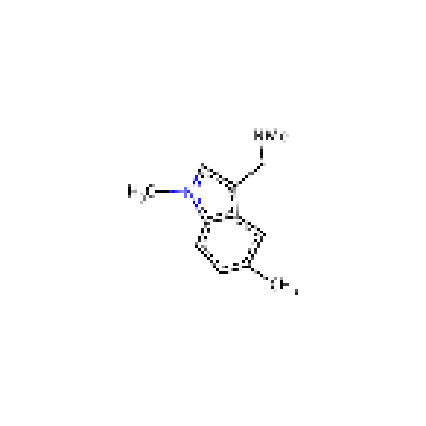 CNCc1cn(C)c2ccc(C)cc12